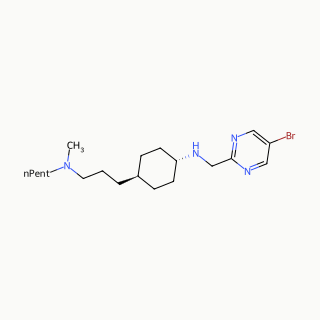 CCCCCN(C)CCC[C@H]1CC[C@H](NCc2ncc(Br)cn2)CC1